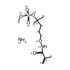 C=C(C)C(=O)NOCCCC(C)(C)OS(=O)(=O)OC.N